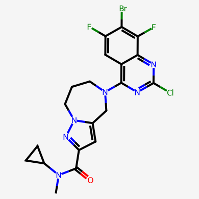 CN(C(=O)c1cc2n(n1)CCCN(c1nc(Cl)nc3c(F)c(Br)c(F)cc13)C2)C1CC1